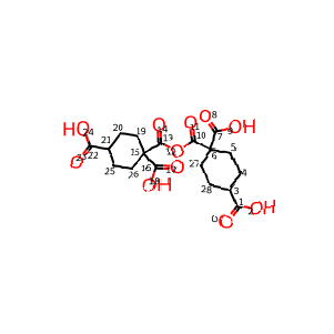 O=C(O)C1CCC(C(=O)O)(C(=O)OC(=O)C2(C(=O)O)CCC(C(=O)O)CC2)CC1